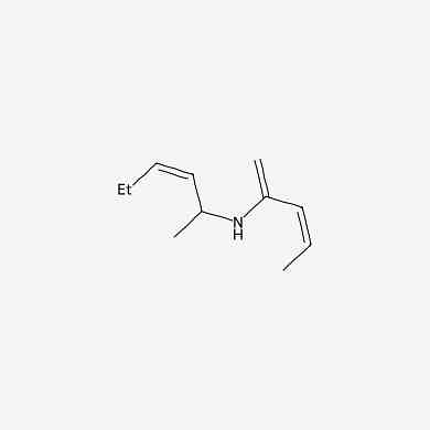 C=C(/C=C\C)NC(C)/C=C\CC